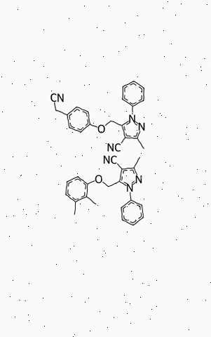 Cc1cccc(OCc2c(C#N)c(C)nn2-c2ccccc2)c1C.Cc1nn(-c2ccccc2)c(COc2ccc(CC#N)cc2)c1C#N